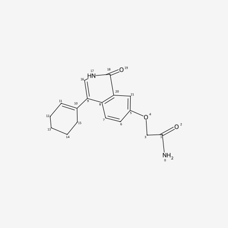 NC(=O)COc1ccc2c(C3=CCCCC3)c[nH]c(=O)c2c1